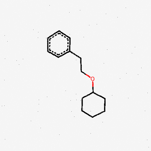 [c]1ccc(CCOC2CCCCC2)cc1